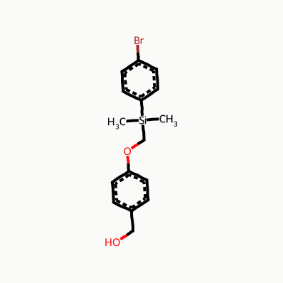 C[Si](C)(COc1ccc(CO)cc1)c1ccc(Br)cc1